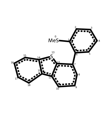 CSc1ccccc1-c1cccc2c1sc1ccccc12